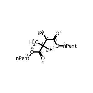 CCCCCOC(=O)C(C(C)C)C(C)(C(=O)OCCCCC)C(C)C